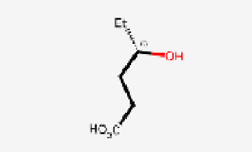 CC[C@H](O)CCC(=O)O